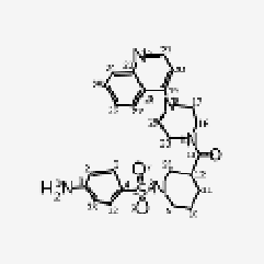 Nc1ccc(S(=O)(=O)N2CCCC(C(=O)N3CCN(c4ccnc5ccccc45)CC3)C2)cc1